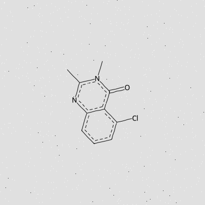 Cc1nc2cccc(Cl)c2c(=O)n1C